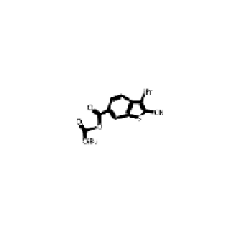 CC(C)COC(=O)OC(=O)c1ccc2c(C(C)C)c(C#N)sc2c1